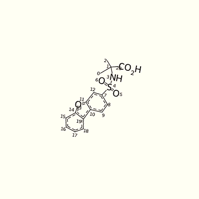 CC(C)(NS(=O)(=O)c1ccc2c(c1)oc1ccccc12)C(=O)O